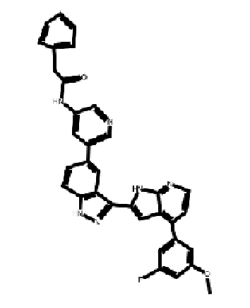 COc1cc(F)cc(-c2ccnc3[nH]c(-c4n[nH]c5ccc(-c6cncc(NC(=O)Cc7ccccc7)c6)cc45)cc23)c1